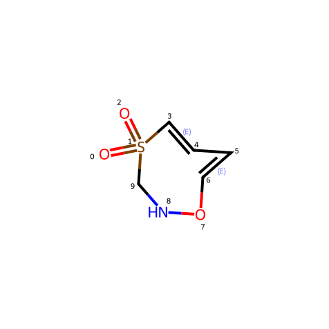 O=S1(=O)/C=C/C=C/ONC1